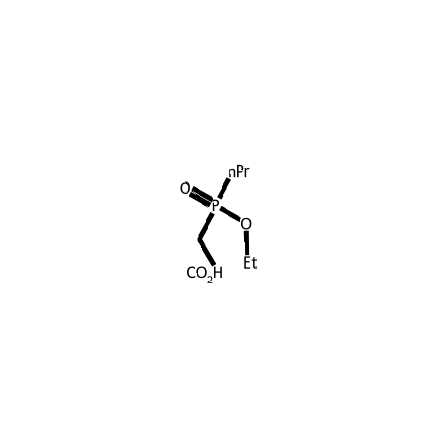 CCCP(=O)(CC(=O)O)OCC